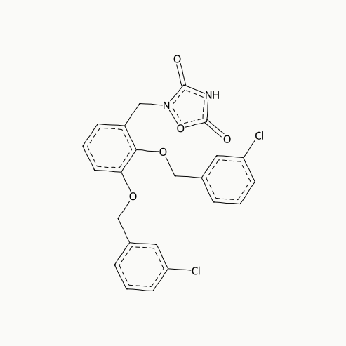 O=c1[nH]c(=O)n(Cc2cccc(OCc3cccc(Cl)c3)c2OCc2cccc(Cl)c2)o1